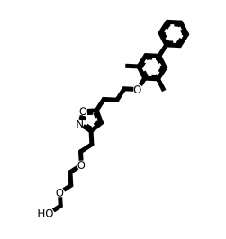 Cc1cc(-c2ccccc2)cc(C)c1OCCCc1cc(CCOCCOCO)no1